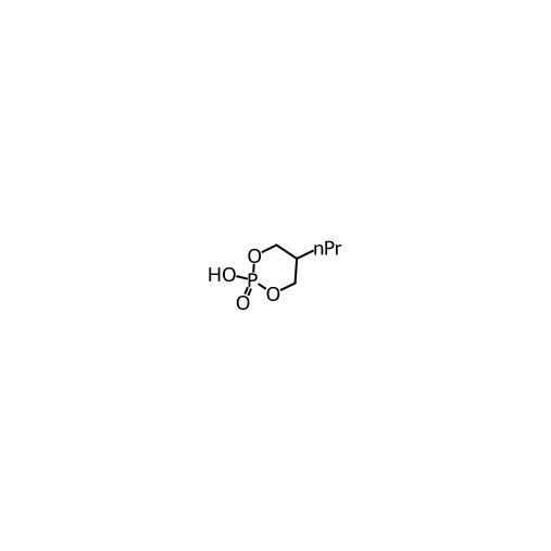 CCCC1COP(=O)(O)OC1